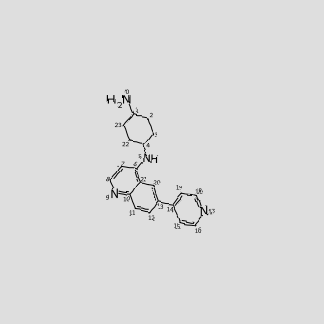 NC1CCC(Nc2[c]cnc3ccc(-c4ccncc4)cc23)CC1